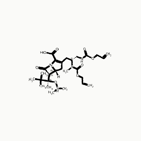 C=CCOC(=O)NC[C@@H](CC1=C(C(=O)O)N2C(=O)[C@H]([C@@](C)(O[SiH](C)C)C(C)(C)C)[C@H]2C1)N(C)C(=O)OCC=C